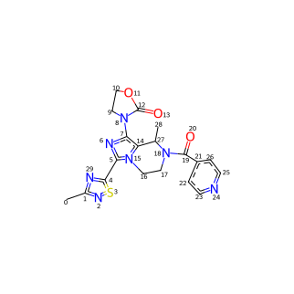 Cc1nsc(-c2nc(N3CCOC3=O)c3n2CCN(C(=O)c2ccncc2)C3C)n1